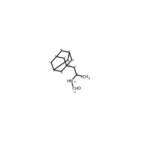 CC(CC12CC3CC(CC(C3)C1)C2)N[C]=O